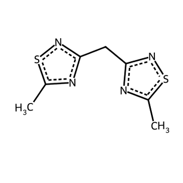 Cc1nc(Cc2nsc(C)n2)ns1